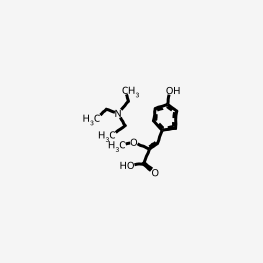 CCN(CC)CC.COC(=Cc1ccc(O)cc1)C(=O)O